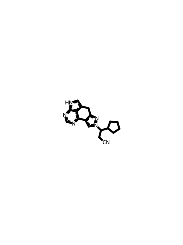 N#CCC(C1CCCC1)n1cc2c(n1)Cc1c[nH]c3ncnc-2c13